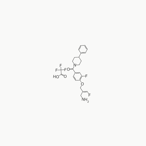 NCC(=CF)COc1ccc(C(=O)N2CCC(c3ccccc3)CC2)cc1F.O=C(O)C(F)(F)F